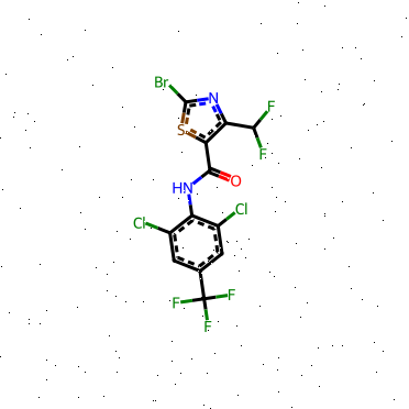 O=C(Nc1c(Cl)cc(C(F)(F)F)cc1Cl)c1sc(Br)nc1C(F)F